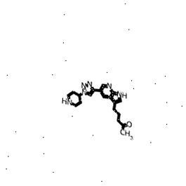 CC(=O)CCCc1c[nH]c2ncc(-c3cn(C4CCNCC4)nn3)cc12